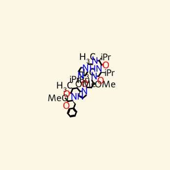 CC[C@H](C)[C@@H]([C@@H](CC(=O)N1CCC[C@H]1[C@H](OC)[C@@H](C)C(=O)N[C@@H](Cc1ccccc1)C(=O)OC)OC)N(C)C(=O)[C@@H](NC(=O)[C@H](C(C)C)N(C)CCN1CCN(C(C)C)CC1)C(C)C